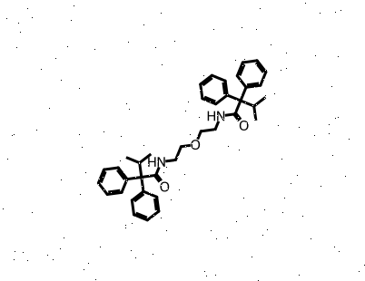 CC(C)C(C(=O)NCCOCCNC(=O)C(c1ccccc1)(c1ccccc1)C(C)C)(c1ccccc1)c1ccccc1